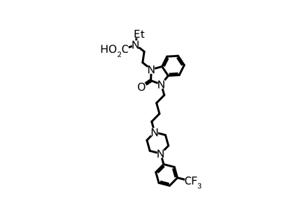 CCN(CCn1c(=O)n(CCCCN2CCN(c3cccc(C(F)(F)F)c3)CC2)c2ccccc21)C(=O)O